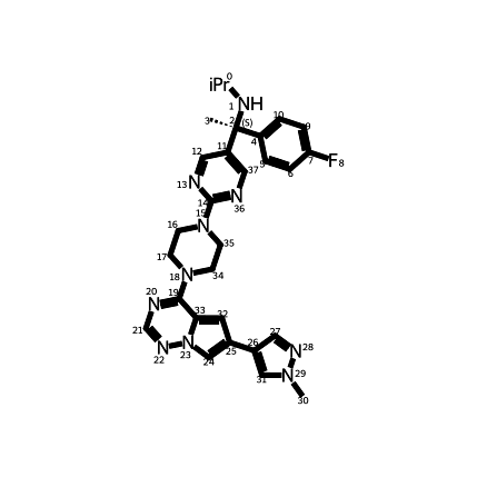 CC(C)N[C@@](C)(c1ccc(F)cc1)c1cnc(N2CCN(c3ncnn4cc(-c5cnn(C)c5)cc34)CC2)nc1